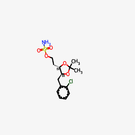 CC1(C)O[C@@H](CCOS(N)(=O)=O)[C@H](Cc2ccccc2Cl)O1